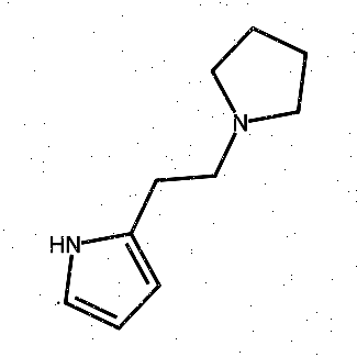 [c]1ccc(CCN2CCCC2)[nH]1